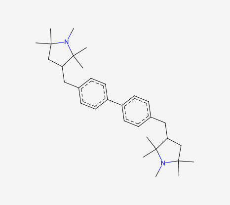 CN1C(C)(C)CC(Cc2ccc(-c3ccc(CC4CC(C)(C)N(C)C4(C)C)cc3)cc2)C1(C)C